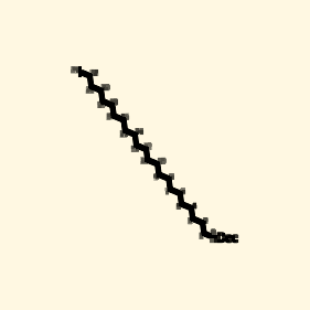 CCCCCCCCCCCCCCCCCCCCCCCCCCCCCCCCI